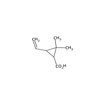 C=CC1C(C(=O)O)C1(C)C